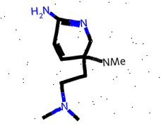 CNC1(CCN(C)C)C=CC(N)=NC1